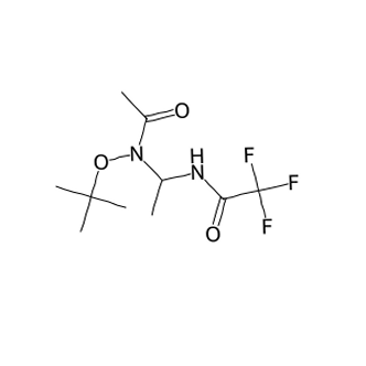 CC(=O)N(OC(C)(C)C)C(C)NC(=O)C(F)(F)F